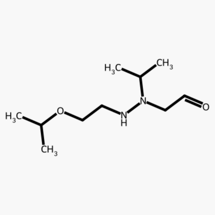 CC(C)OCCNN(CC=O)C(C)C